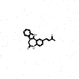 CC(=O)C=Cc1ccc2c(c1)-c1[nH]c3ccccc3c1CC(=O)N2